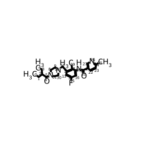 CCC(CC)C(=O)N1CCN(Cc2cc(F)cc(NC(=O)c3ccc(C)nc3)c2C)CC1